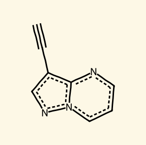 C#Cc1cnn2cccnc12